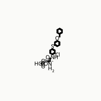 C[C@](N)(COP(=O)(O)O)C(=O)Nc1ccc(Sc2cccc(OCc3ccccc3)c2)cc1Cl